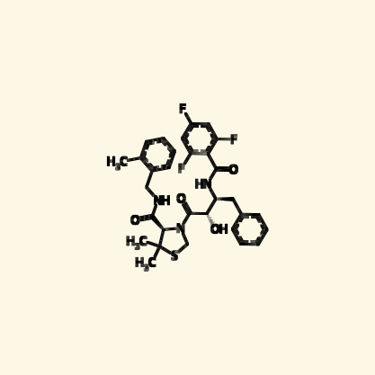 Cc1ccccc1CNC(=O)[C@H]1N(C(=O)[C@@H](O)[C@H](Cc2ccccc2)NC(=O)c2c(F)cc(F)cc2F)CSC1(C)C